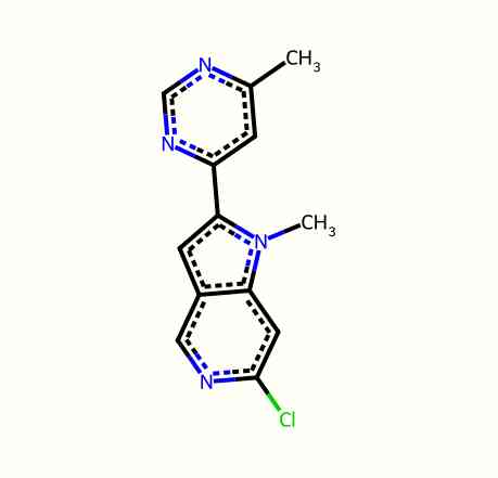 Cc1cc(-c2cc3cnc(Cl)cc3n2C)ncn1